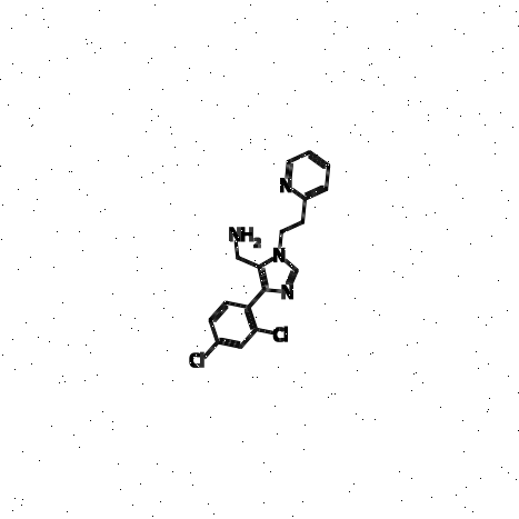 NCc1c(-c2ccc(Cl)cc2Cl)ncn1CCc1ccccn1